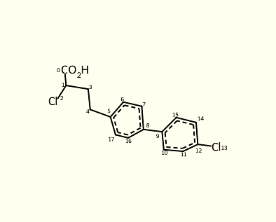 O=C(O)C(Cl)CCc1ccc(-c2ccc(Cl)cc2)cc1